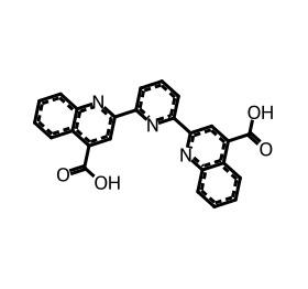 O=C(O)c1cc(-c2cccc(-c3cc(C(=O)O)c4ccccc4n3)n2)nc2ccccc12